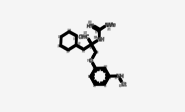 CCNc1cccc(OCC(C=O)(CC2CCCCC2)NC(=N)NC)c1